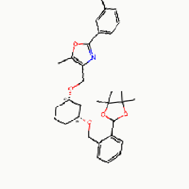 Cc1cccc(-c2nc(CO[C@H]3CCC[C@@H](OCc4ccccc4C4OC(C)(C)C(C)(C)O4)C3)c(C)o2)c1